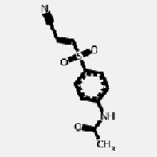 CC(=O)Nc1ccc(S(=O)(=O)/C=C/C#N)cc1